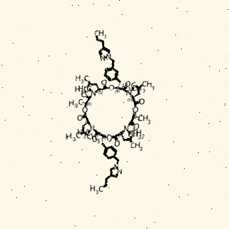 CCCc1cnn(Cc2ccc(C[C@H]3OC(=O)[C@H](CC(C)C)N(C)C(=O)[C@@H](C)OC(=O)[C@H](CC(C)C)N(C)C(=O)[C@@H](Cc4cccc(Cn5cc(CCC)cn5)c4)OC(=O)[C@H](CC(C)C)N(C)C(=O)[C@@H](C)OC(=O)[C@H](CC(C)C)N(C)C3=O)cc2)c1